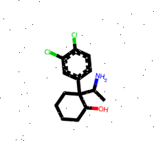 CC(N)C1(c2ccc(Cl)c(Cl)c2)CCCCC1O